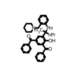 CCCC(C)(Pc1ccccc1CN1CCCCC1)c1cc(C(=O)c2ccccc2)cc(C(=O)c2ccccc2)c1O